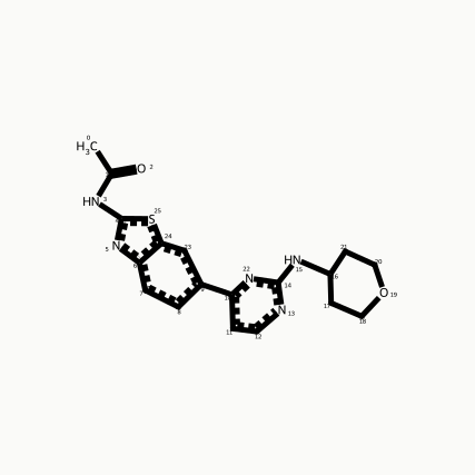 CC(=O)Nc1nc2ccc(-c3ccnc(NC4CCOCC4)n3)cc2s1